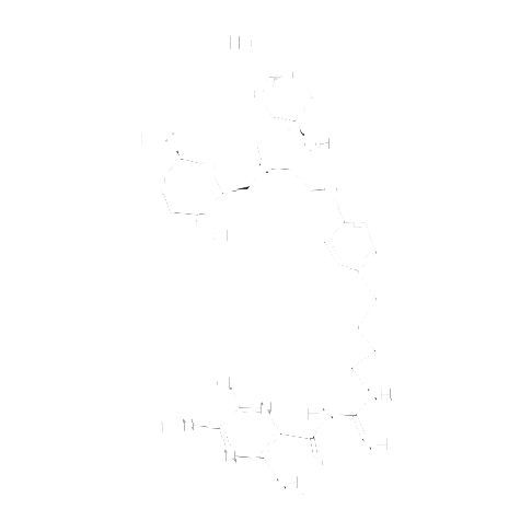 C[C@@H]1OC[C@@H](O)[C@H](CN(CCOc2ccc(CCCCNC(=N)NC(=O)c3nc(Cl)c(N)nc3N)cc2)C[C@@H]2O[C@H](C)OC[C@H]2O)O1